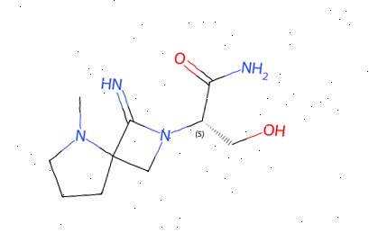 CN1CCCC12CN([C@@H](CO)C(N)=O)C2=N